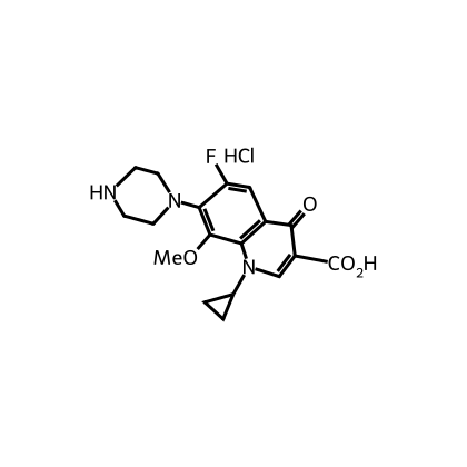 COc1c(N2CCNCC2)c(F)cc2c(=O)c(C(=O)O)cn(C3CC3)c12.Cl